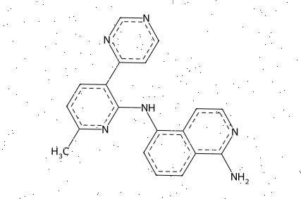 Cc1ccc(-c2ccncn2)c(Nc2cccc3c(N)nccc23)n1